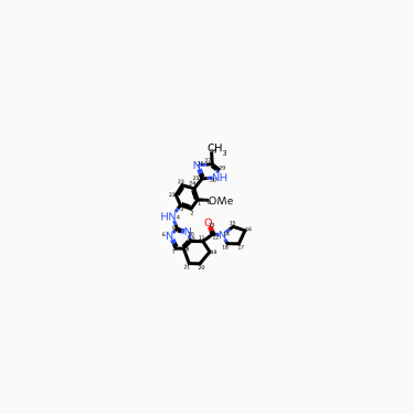 COc1cc(Nc2ncc3c(n2)C(C(=O)N2CCCC2)CCC3)ccc1-c1nc(C)c[nH]1